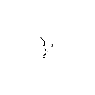 CCOP=O.[KH]